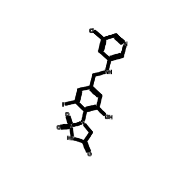 O=C1CN(c2c(O)cc(CNc3cncc(Cl)c3)cc2F)S(=O)(=O)N1